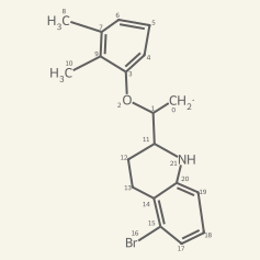 [CH2]C(Oc1cccc(C)c1C)C1CCc2c(Br)cccc2N1